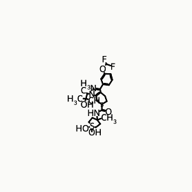 CC(n1nc(-c2cccc(OC(F)F)c2)c2c1CC(C(=O)NC1(C)CCS(O)(O)CC1)CC2)C(C)(C)O